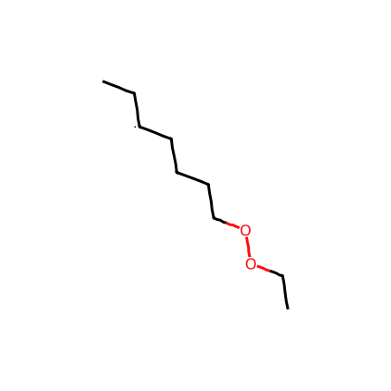 CC[CH]CCCCOOCC